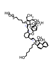 C=CC1=C(C=C)C(C)(C)/C(=C\C=C2/CCCC(/C=C/C3=[N+](CCCCCCO)c4ccc5ccccc5c4C3(C)C)=C2Oc2ccc(S(=O)(=O)O)cc2)N1CCCCSOOO